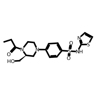 CCC(=O)N1CCN(c2ccc(S(=O)(=O)Nc3nccs3)cc2)C[C@H]1CO